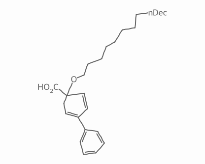 CCCCCCCCCCCCCCCCCCOC1(C(=O)O)C=CC(c2ccccc2)=CC1